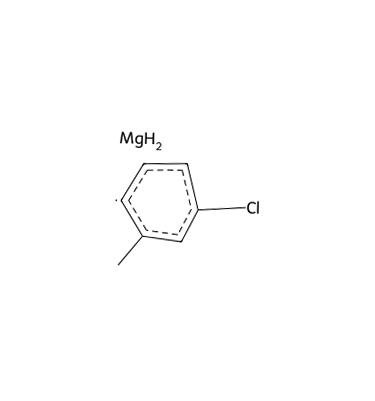 Cc1[c]ccc(Cl)c1.[MgH2]